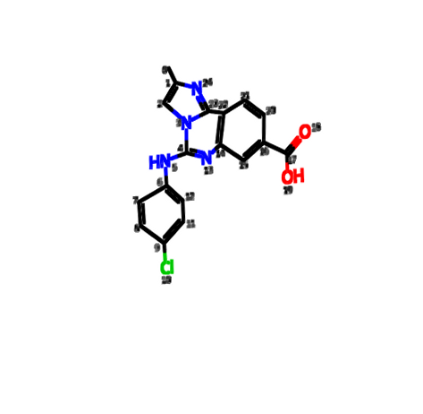 Cc1cn2c(Nc3ccc(Cl)cc3)nc3cc(C(=O)O)ccc3c2n1